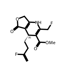 C=C(F)CC[C@H]1C(C(=O)OC)=C(CF)NC2=C1C(=O)OC2